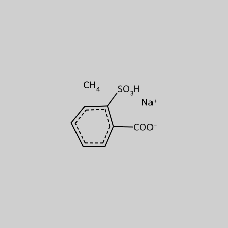 C.O=C([O-])c1ccccc1S(=O)(=O)O.[Na+]